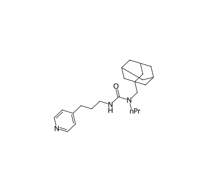 CCCN(CC12CC3CC(CC(C3)C1)C2)C(=O)NCCCc1ccncc1